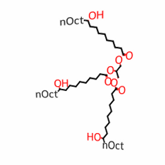 CCCCCCCCC(O)CCCCCCCCC(=O)OCC(COC(=O)CCCCCCCCC(O)CCCCCCCC)OC(=O)CCCCCCCCC(O)CCCCCCCC